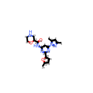 Cc1cc(C)n(-c2cc(NC(=O)C3CNCCO3)nc(-c3ccc(C)o3)n2)n1